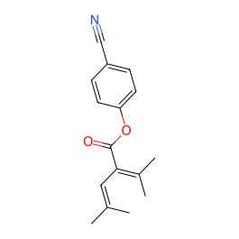 CC(C)=CC(C(=O)Oc1ccc(C#N)cc1)=C(C)C